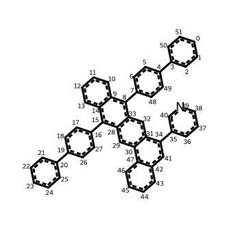 c1ccc(-c2ccc(-c3c4ccccc4c(-c4ccc(-c5ccccc5)cc4)c4cc5c(cc34)c(-c3cccnc3)cc3ccccc35)cc2)cc1